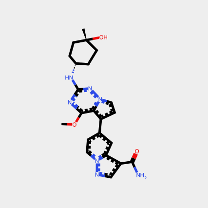 COc1nc(N[C@H]2CC[C@@](C)(O)CC2)nn2ccc(-c3ccn4ncc(C(N)=O)c4c3)c12